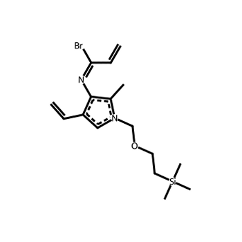 C=C/C(Br)=N\c1c(C=C)cn(COCC[Si](C)(C)C)c1C